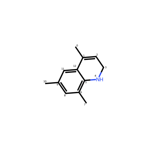 CC1=CCNc2c(C)cc(C)cc21